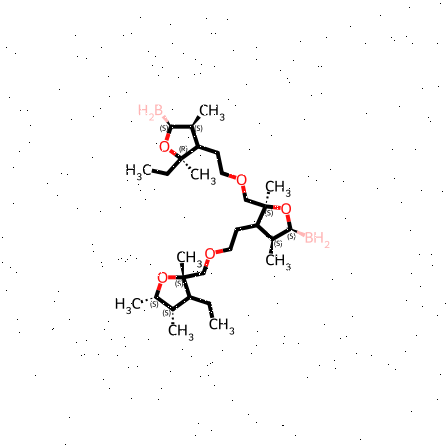 B[C@@H]1O[C@](C)(CC)C(CCOC[C@@]2(C)O[C@@H](B)[C@@H](C)C2CCOC[C@@]2(C)O[C@@H](C)[C@@H](C)C2CC)[C@@H]1C